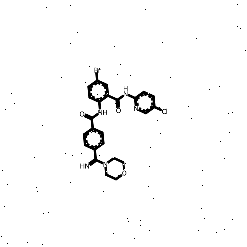 N=C(c1ccc(C(=O)Nc2ccc(Br)cc2C(=O)Nc2ccc(Cl)cn2)cc1)N1CCOCC1